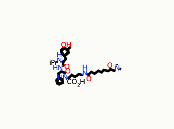 Cc1cc(CC(NC(C)C)C(=O)NC(Cc2ccccc2)C(=O)NC(CCCCNC(=O)CCCCCCC(=O)CN(C)C)C(=O)O)ccc1O